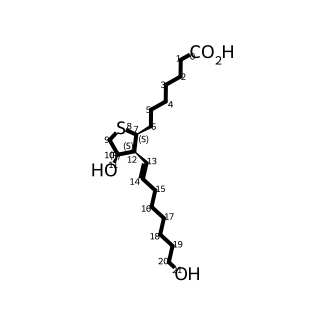 O=C(O)CCCCCC[C@@H]1SC[C@H](O)[C@@H]1C=CCCCCCCO